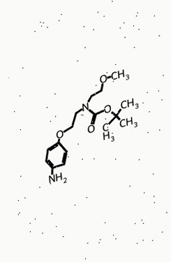 COCCN(CCOc1ccc(N)cc1)C(=O)OC(C)(C)C